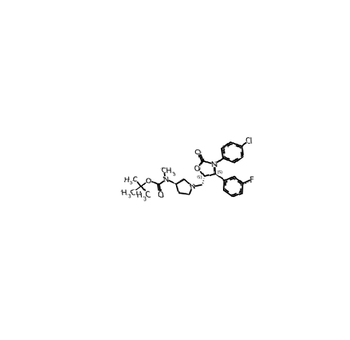 CN(C(=O)OC(C)(C)C)C1CCN(C[C@@H]2OC(=O)N(c3ccc(Cl)cc3)[C@H]2c2cccc(F)c2)C1